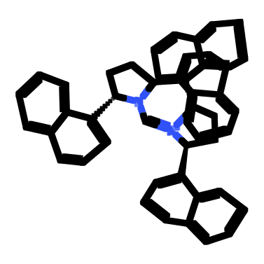 C(N1C(c2cccc3ccccc23)CC[C@H]1c1cccc2ccccc12)=[N+]1[C@H](c2cccc3ccccc23)CC[C@H]1c1cccc2ccccc12